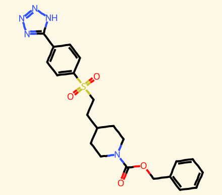 O=C(OCc1ccccc1)N1CCC(CCS(=O)(=O)c2ccc(-c3nnn[nH]3)cc2)CC1